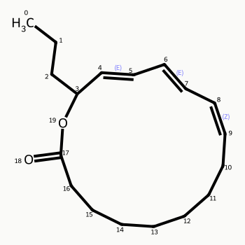 CCCC1/C=C/C=C/C=C\CCCCCCCC(=O)O1